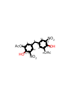 CC(=O)Oc1cc(Cc2cc(OC(C)=O)c(O)c([N+](=O)[O-])c2)cc([N+](=O)[O-])c1O